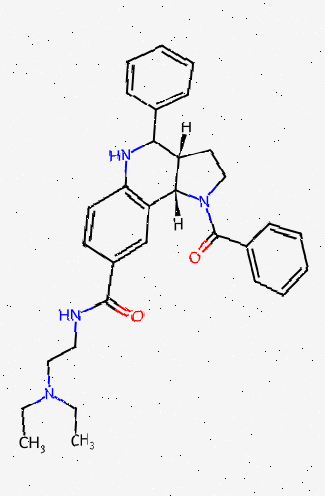 CCN(CC)CCNC(=O)c1ccc2c(c1)[C@@H]1[C@@H](CCN1C(=O)c1ccccc1)C(c1ccccc1)N2